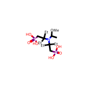 CCC(CC)(CP(=O)(O)O)N(C(C)OC)C(CC)(CC)CP(=O)(O)O